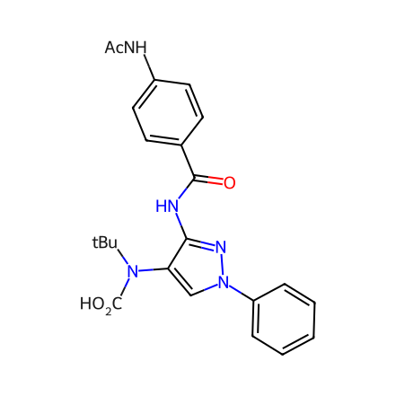 CC(=O)Nc1ccc(C(=O)Nc2nn(-c3ccccc3)cc2N(C(=O)O)C(C)(C)C)cc1